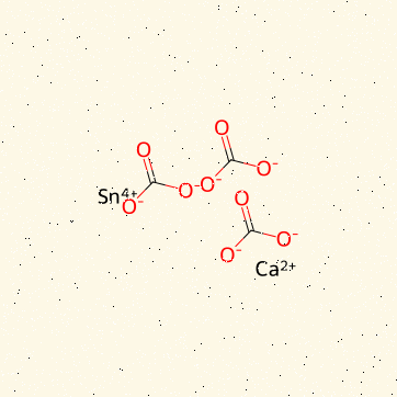 O=C([O-])[O-].O=C([O-])[O-].O=C([O-])[O-].[Ca+2].[Sn+4]